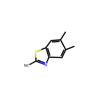 Cc1cc2nc(C#N)sc2cc1C